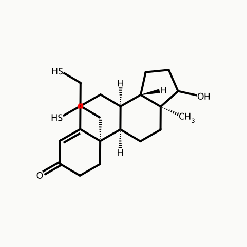 C[C@]12CC[C@@H]3[C@@H](CCC4=CC(=O)CC[C@@]43CC(S)CS)[C@@H]1CCC2O